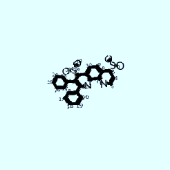 O=S(=O)=C1C=CN=c2c1ccc1c2=NC(c2ccccc2)=C(c2ccccc2)C1=S(=O)=O